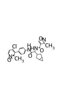 Cc1nocc1C(=O)NC(C(=O)Nc1ccc(-c2c(Cl)cc[n+]([O-])c2C)cc1)C1CC2CC2C1